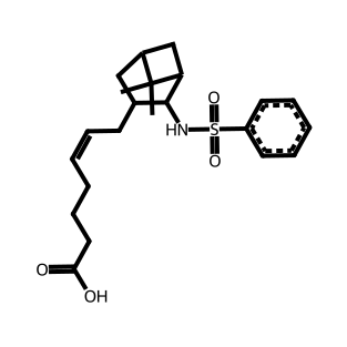 CC1(C)C2CC(C/C=C\CCCC(=O)O)C(NS(=O)(=O)c3ccccc3)C1C2